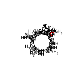 CC[C@H](C)[C@@H]1NC(=O)[C@@H](CCCNC(=N)N)NC(=O)[C@H](CC(C)C)NC(=O)[C@H]([C@H](O)C(C)C)NC(=O)[C@@H](NC(=O)[C@H](CC(C)C)NC(=O)[C@H](N)CC2CC2)[C@@H](c2ccccc2)OC(=O)[C@H](CO)NC(=O)[C@H]([C@H](O)C(N)=O)NC(=O)CNC(=O)[C@H]([C@H](C)O)NC1O